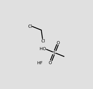 CS(=O)(=O)O.ClCCl.F